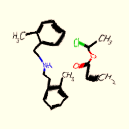 C=CC(=O)OC(C)Cl.Cc1ccccc1CNCc1ccccc1C